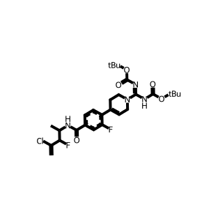 C=C(Cl)C(F)C(C)NC(=O)c1ccc(C2=CCN(/C(=N\C(=O)OC(C)(C)C)NC(=O)OC(C)(C)C)CC2)c(F)c1